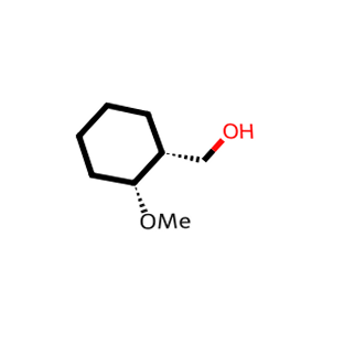 CO[C@@H]1CCCC[C@@H]1CO